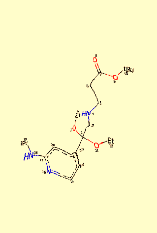 CCOC(CNCCC(=O)OC(C)(C)C)(OCC)c1ccnc(NC(C)C)c1